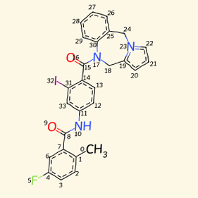 Cc1ccc(F)cc1C(=O)Nc1ccc(C(=O)N2Cc3cccn3Cc3ccccc32)c(I)c1